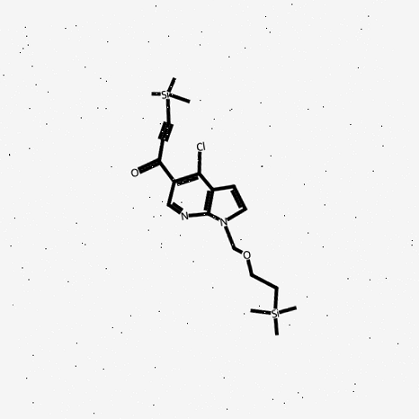 C[Si](C)(C)C#CC(=O)c1cnc2c(ccn2COCC[Si](C)(C)C)c1Cl